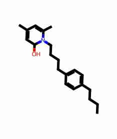 CCCCc1ccc(CCCCN2C(C)=CC(C)=CC2O)cc1